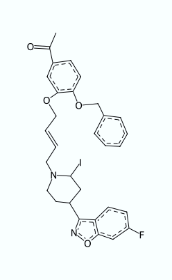 CC(=O)c1ccc(OCc2ccccc2)c(OCC=CCN2CCC(c3noc4cc(F)ccc34)CC2I)c1